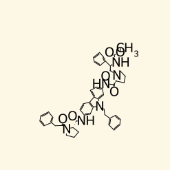 COC(=O)N[C@@H](C(=O)N1CCC[C@H]1C(=O)Nc1ccc2c3ccc(NC(=O)[C@@H]4CCCN4C(=O)Cc4ccccc4)cc3n(CCc3ccccc3)c2c1)c1ccccc1